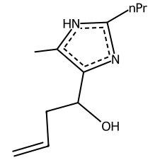 C=CCC(O)c1nc(CCC)[nH]c1C